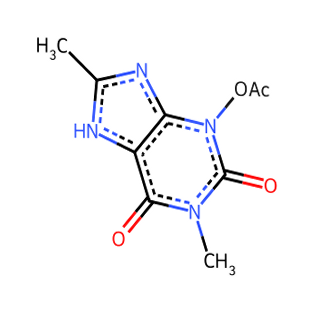 CC(=O)On1c(=O)n(C)c(=O)c2[nH]c(C)nc21